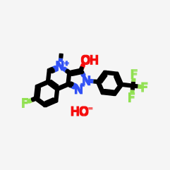 C[n+]1cc2cc(F)ccc2c2nn(-c3ccc(C(F)(F)F)cc3)c(O)c21.[OH-]